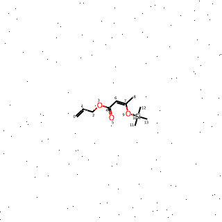 C=CCOC(=O)C=C(C)O[Si](C)(C)C